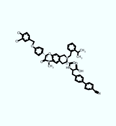 CC(C)c1ccccc1CN1Cc2cc3c(cc2C[C@H]1C(=O)NC(Cc1ccc(-c2ccc(C#N)cc2)cc1)C(=O)O)N(C)C(=O)[C@H](c1ccc(OCc2ccc(Cl)c(Cl)c2)cc1)O3